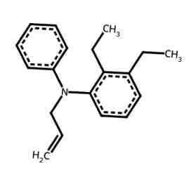 C=CCN(c1ccccc1)c1cccc(CC)c1CC